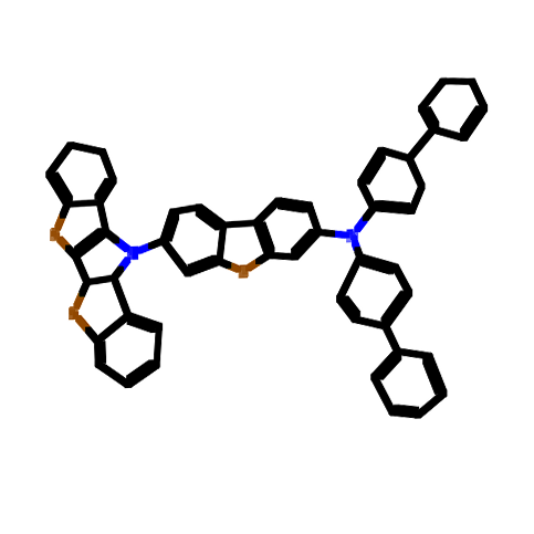 C1=CC(C2C=CC(N(c3ccc(-c4ccccc4)cc3)c3ccc4c(c3)sc3cc(N5c6c(sc7c6=CCCC=7)C6Sc7ccccc7C65)ccc34)=CC2)=CCC1